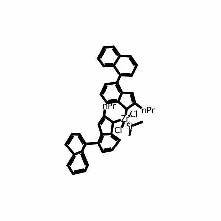 CCCC1=Cc2c(-c3cccc4ccccc34)cccc2[CH]1[Zr]([Cl])([Cl])([CH]1C(CCC)=Cc2c(-c3cccc4ccccc34)cccc21)=[Si](C)C